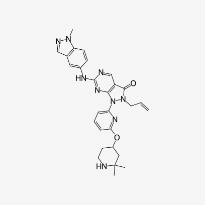 C=CCn1c(=O)c2cnc(Nc3ccc4c(cnn4C)c3)nc2n1-c1cccc(OC2CCNC(C)(C)C2)n1